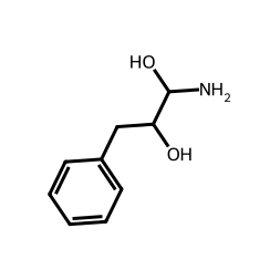 NC(O)C(O)Cc1ccccc1